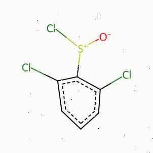 [O-][S+](Cl)c1c(Cl)cccc1Cl